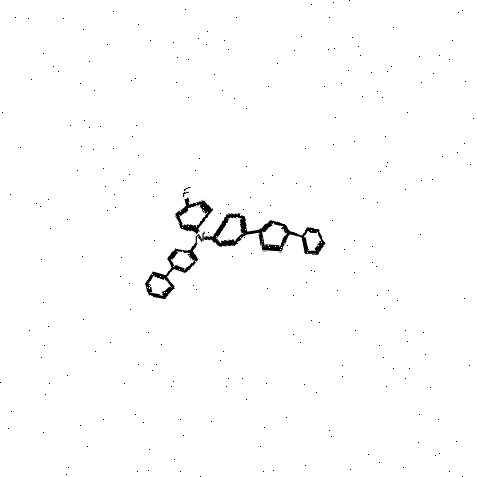 Fc1ccc(N(c2ccc(-c3ccccc3)cc2)c2ccc(-c3ccc(-c4ccccc4)cc3)cc2)cc1